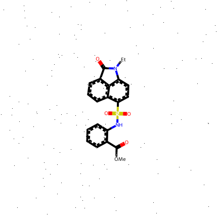 CCN1C(=O)c2cccc3c(S(=O)(=O)Nc4ccccc4C(=O)OC)ccc1c23